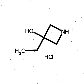 CCC1(O)CNC1.Cl